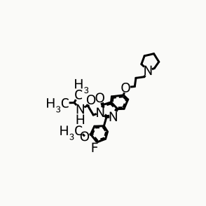 COc1cc(-c2nc3ccc(OCCCN4CCCCC4)cc3c(=O)n2CC(=O)NC(C)C)ccc1F